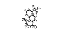 O=C(O)c1ccc2c(C(F)(F)F)cccc2c1I(=O)=O